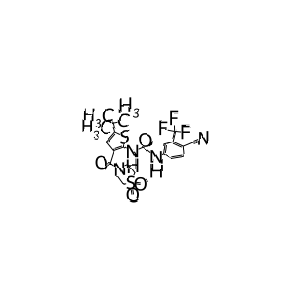 CC(C)(C)c1cc(C(=O)N2CCS(=O)(=O)CC2)c(NC(=O)Nc2ccc(C#N)c(C(F)(F)F)c2)s1